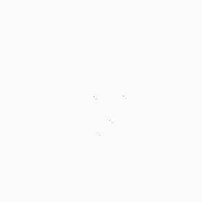 NN1CCN=C1N1Cc2ccccc2C1